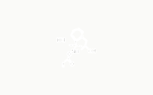 C=CC(=O)ONC(C)(C)c1ccccc1CC(C)O.Cl